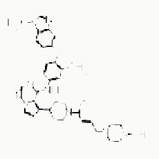 Cc1cc(Nc2ncnn3ccc(C4CCN(C(=O)/C=C/CN5CCN(C)CC5)CC4)c23)ccc1Oc1ccc2c(c1)ncn2C